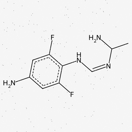 CC(N)/N=C\Nc1c(F)cc(N)cc1F